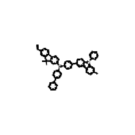 C=Cc1ccc2c(c1)C(C)(C)c1cc(N(c3ccc(-c4ccccc4)cc3)c3ccc(-c4ccc5c(c4)c4ccc(C)cc4n5-c4ccccc4)cc3)ccc1-2